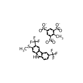 CSc1cc2[nH]c3ccc(C(F)(F)F)cc3c2cc1C(F)(F)F.Cc1c([N+](=O)[O-])cc([N+](=O)[O-])cc1[N+](=O)[O-]